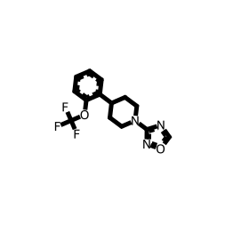 FC(F)(F)Oc1ccccc1C1CCN(c2ncon2)CC1